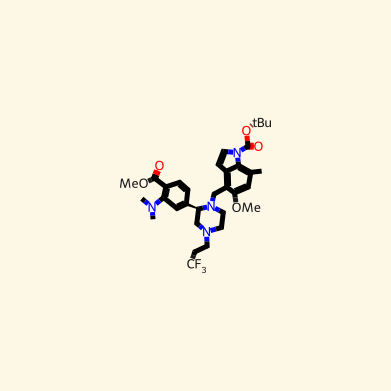 COC(=O)c1ccc([C@@H]2CN(CCC(F)(F)F)CCN2Cc2c(OC)cc(C)c3c2ccn3C(=O)OC(C)(C)C)cc1N(C)C